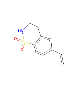 C=Cc1ccc2c(c1)CCNS2(=O)=O